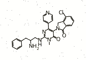 Cn1c(NCC(N)Cc2ccccc2)nc(-c2ccncc2)c(N2Cc3c(Cl)cccc3C2=O)c1=O